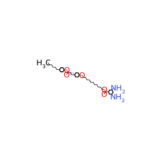 CCCCCCc1ccc(OC(=O)/C=C/c2ccc(OCCCCCCCCCCCOC(=O)c3cc(N)cc(N)c3)cc2)cc1